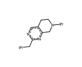 CC(C)Cc1ncc2c(n1)CN(C(C)C)CC2